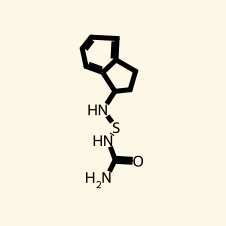 NC(=O)NSNC1CCc2ccccc21